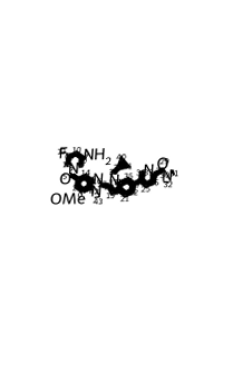 COc1cc(C(=O)N2C[C@H](N)C[C@@H](F)C2)cc2nc(-c3cc4ccc(-c5ccc(C(=O)N(C)C)nc5)cc4n3CC3CC3)n(C)c12